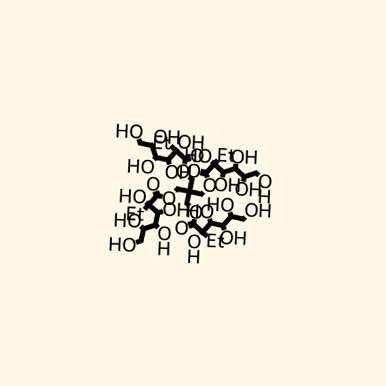 CCC(O)(C(=O)OCC(COC(=O)C(O)(CC)C(O)C(O)C(O)CO)(COC(=O)C(O)(CC)C(O)C(O)C(O)CO)COC(=O)C(O)(CC)C(O)C(O)C(O)CO)C(O)C(O)C(O)CO